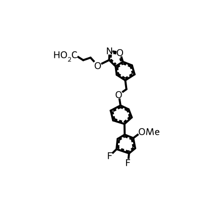 COc1cc(F)c(F)cc1-c1ccc(OCc2ccc3onc(OCCC(=O)O)c3c2)cc1